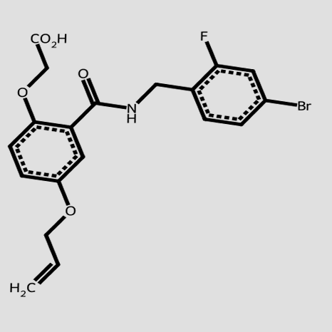 C=CCOc1ccc(OCC(=O)O)c(C(=O)NCc2ccc(Br)cc2F)c1